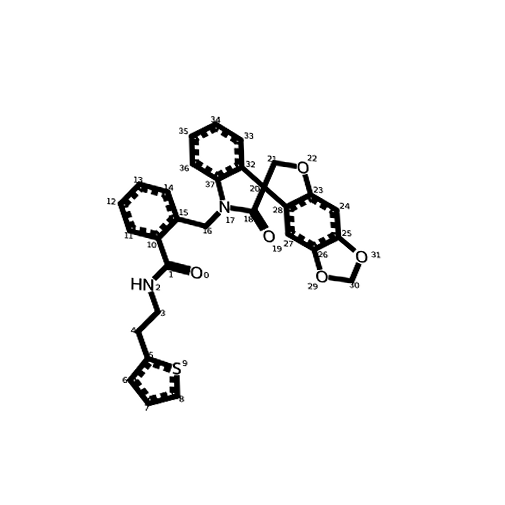 O=C(NCCc1cccs1)c1ccccc1CN1C(=O)C2(COc3cc4c(cc32)OCO4)c2ccccc21